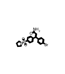 NC(=O)C=C(c1ccc(Br)cc1)c1ccc(S(=O)(=O)N2CCCC2)cc1